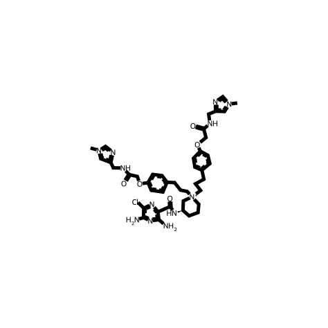 Cn1cnc(CNC(=O)COc2ccc(CCC[N+]3(CCCc4ccc(OCC(=O)NCc5cn(C)cn5)cc4)CCC[C@H](NC(=O)c4nc(Cl)c(N)nc4N)C3)cc2)c1